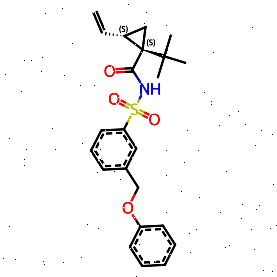 C=C[C@@H]1C[C@@]1(C(=O)NS(=O)(=O)c1cccc(COc2ccccc2)c1)C(C)(C)C